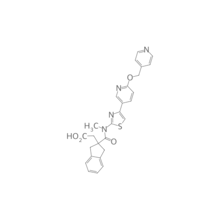 CN(C(=O)C1(CC(=O)O)Cc2ccccc2C1)c1nc(-c2ccc(OCc3ccncc3)nc2)cs1